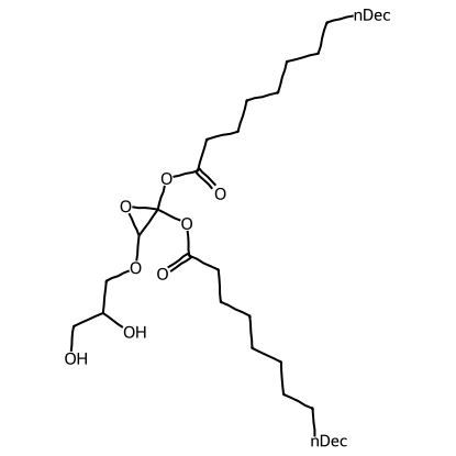 CCCCCCCCCCCCCCCCCC(=O)OC1(OC(=O)CCCCCCCCCCCCCCCCC)OC1OCC(O)CO